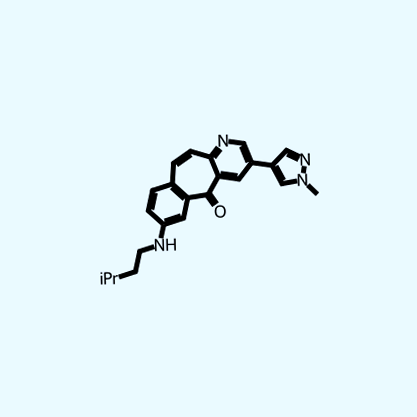 CC(C)CCNc1ccc2ccc3ncc(-c4cnn(C)c4)cc3c(=O)c2c1